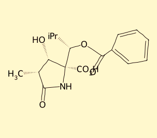 CC(C)[C@H](OC(=O)c1ccccc1)[C@@]1(C(=O)O)NC(=O)[C@H](C)[C@@H]1O